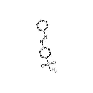 NS(=O)(=O)c1ccc(N=Nc2ccccc2)cc1